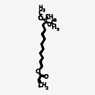 C=CC(=O)OCCCCCCCCCC[Si](C)(OC)OC